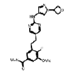 CNC(=O)c1cc(CCc2cnc(Nc3cnn(C4COC4)c3)nc2)c(F)c(OC)c1